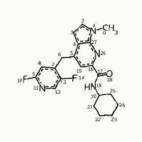 Cn1ccc2c(Cc3cc(F)ncc3F)cc(C(=O)NC3CCCCC3)nc21